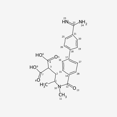 CC(CC(C(=O)O)C(=O)O)N(C)C(=O)c1ccc(-c2ccc(C(=N)N)cc2)cc1